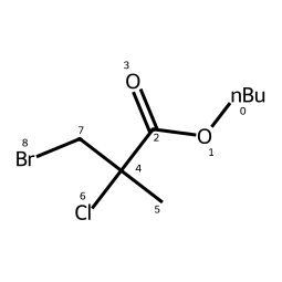 CCCCOC(=O)C(C)(Cl)CBr